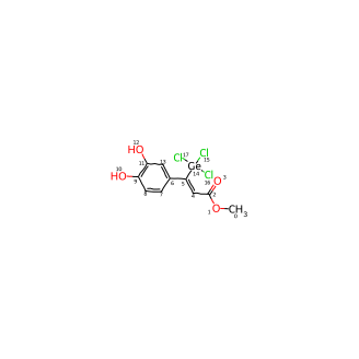 COC(=O)C=[C](c1ccc(O)c(O)c1)[Ge]([Cl])([Cl])[Cl]